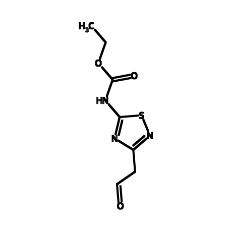 CCOC(=O)Nc1nc(CC=O)ns1